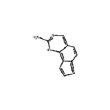 Nc1ncc2ccc3cccc3c2[nH]1